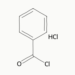 Cl.O=C(Cl)c1ccccc1